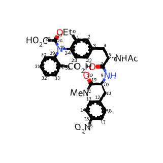 CCc1cc(C[C@H](NC(C)=O)C(=O)N[C@@H](Cc2ccc([N+](=O)[O-])cc2)C(=O)NC)ccc1N(C(=O)C(=O)O)c1ccccc1C(=O)O